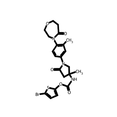 Cc1cc(N2CC(C)(NC(=O)Oc3ccc(Br)s3)CC2=O)ccc1N1CCOCCC1=O